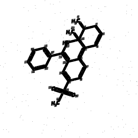 CC1CC=CC2=c3ccc(S(C)(=O)=O)cc3=C(c3ccccc3)NC21C